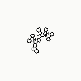 c1ccc2c(c1)B1c3cc4oc5ccccc5c4cc3-c3ccc(-c4cc5c(c6c4oc4ccccc46)-c4ccccc4N4B5c5ccccc5-c5ccccc54)cc3N1c1ccccc1-2